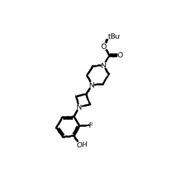 CC(C)(C)OC(=O)N1CCN(C2CN(c3cccc(O)c3F)C2)CC1